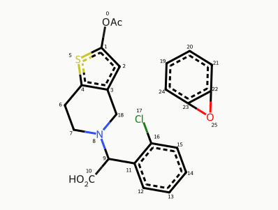 CC(=O)Oc1cc2c(s1)CCN(C(C(=O)O)c1ccccc1Cl)C2.c1ccc2c(c1)O2